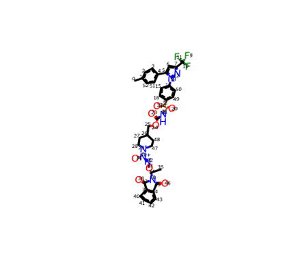 Cc1ccc(-c2cc(C(F)(F)F)nn2-c2ccc(S(=O)(=O)NC(=O)OCC3CCN(/[N+]([O-])=N/OC(C)N4C(=O)c5ccccc5C4=O)CC3)cc2)cc1